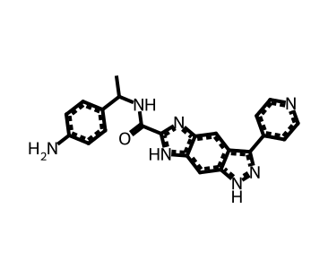 CC(NC(=O)c1nc2cc3c(-c4ccncc4)n[nH]c3cc2[nH]1)c1ccc(N)cc1